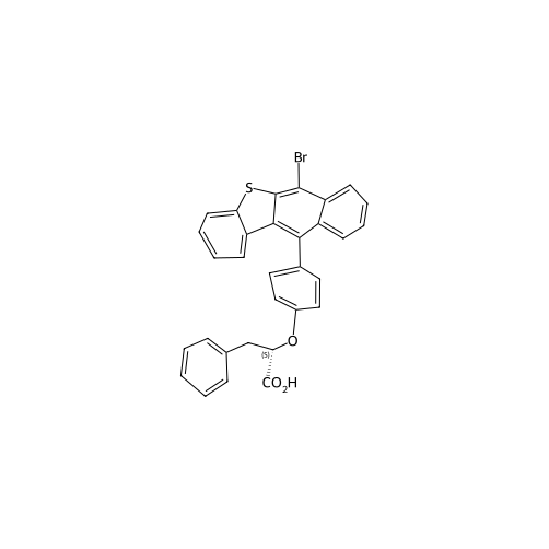 O=C(O)[C@H](Cc1ccccc1)Oc1ccc(-c2c3ccccc3c(Br)c3sc4ccccc4c23)cc1